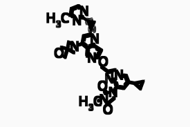 Cc1ccnc([C@H]2C[C@@H]2c2cc(N3CC4(COC4)C3)c3cnc(OCc4cn5cc(C6CC6)cc(N6CC(=O)N(C)C6=O)c5n4)cc3n2)n1